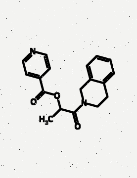 CC(OC(=O)c1ccncc1)C(=O)N1CCc2ccccc2C1